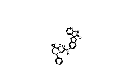 O=C(CN1C(=O)C2(CCC1c1ccccc1)CC2)Nc1ccc2c(c1)CC1(C2)C(=O)Nc2ncccc21